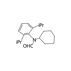 CC(C)c1cccc(C(C)C)c1N(C=O)C1CCCCC1